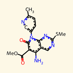 COC(=O)c1c(N)c2cnc(SC)nc2n(-c2ccc(C)nc2)c1=O